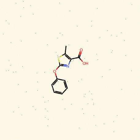 Cc1sc(Oc2ccccc2)nc1C(=O)O